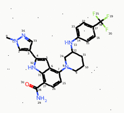 Cn1cc(-c2cc3c(N4CCCC(Nc5ccc(C(F)(F)F)cc5)C4)ccc(C(N)=O)c3[nH]2)cn1